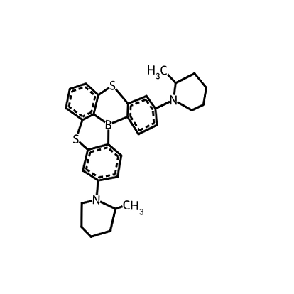 CC1CCCCN1c1ccc2c(c1)Sc1cccc3c1B2c1ccc(N2CCCCC2C)cc1S3